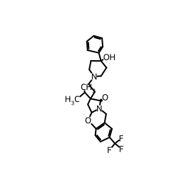 CC(C)C1(CCN2CCC(O)(c3ccccc3)CC2)CC2Oc3ccc(C(F)(F)F)cc3CN2C1=O